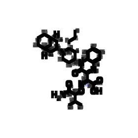 CCC[C@@H]1C[C@H](n2c(=O)c(/C(=N/OC(C(N)=O)C(C)C)C(=O)O)nc3ccccc32)CCN1[C@H]1C[C@@H]2CCC[C@@H](C2)C1